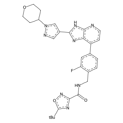 CC(C)(C)c1nc(C(=O)NCc2ccc(-c3ccnc4[nH]c(-c5cnn(C6CCOCC6)c5)nc34)cc2F)no1